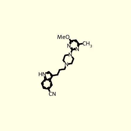 COc1cc(C)nc(N2CCN(CCCc3c[nH]c4ccc(C#N)cc34)CC2)n1